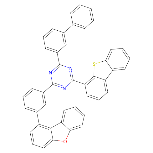 c1ccc(-c2cccc(-c3nc(-c4cccc(-c5cccc6oc7ccccc7c56)c4)nc(-c4cccc5c4sc4ccccc45)n3)c2)cc1